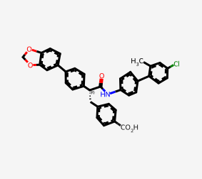 Cc1cc(Cl)ccc1-c1ccc(NC(=O)[C@H](Cc2ccc(C(=O)O)cc2)c2ccc(-c3ccc4c(c3)OCO4)cc2)cc1